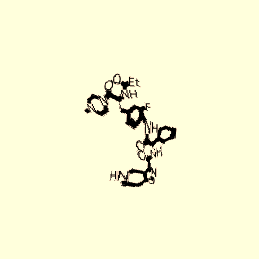 CCC(=O)N[C@H](Cc1ccc(NC(=O)[C@@H](NC(=O)c2noc3c2CNCC3)C2CCCCC2)c(F)c1)C(=O)N1CCN(C)CC1